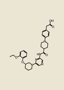 CCOc1ccccc1O[C@@H]1CCCN(c2cncc(NC(=O)C3CCN(c4ccc(CC(=O)O)cc4)CC3)n2)C1